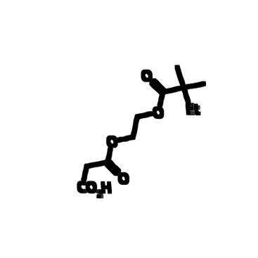 CCC(C)(C)C(=O)OCCOC(=O)CC(=O)O